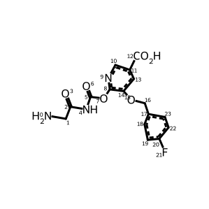 NCC(=O)NC(=O)Oc1ncc(C(=O)O)cc1OCc1ccc(F)cc1